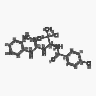 CC(Cl)(Cl)[C@@H](NC(=O)c1ccc(Cl)cc1)NC(=NC#N)Nc1cccnc1